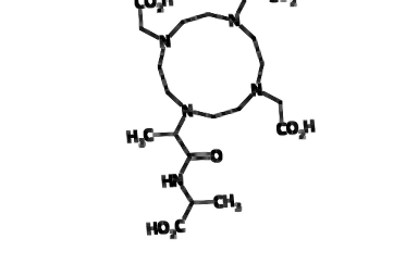 CC(NC(=O)C(C)N1CCN(CC(=O)O)CCN(CC(=O)O)CCN(CC(=O)O)CC1)C(=O)O